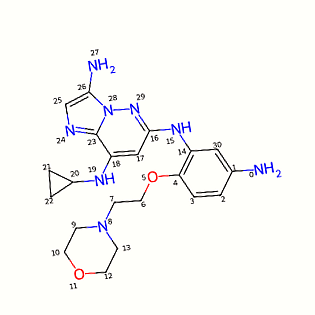 Nc1ccc(OCCN2CCOCC2)c(Nc2cc(NC3CC3)c3ncc(N)n3n2)c1